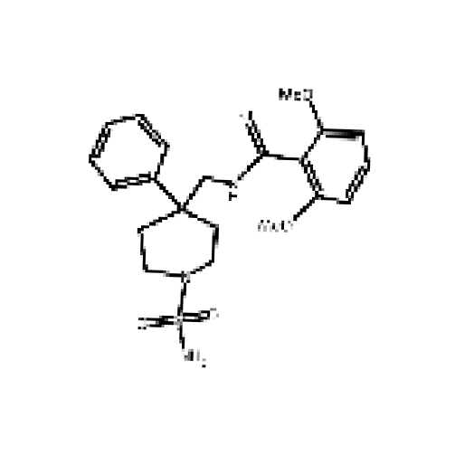 COc1cccc(OC)c1C(=O)NCC1(c2ccccc2)CCN(S(N)(=O)=O)CC1